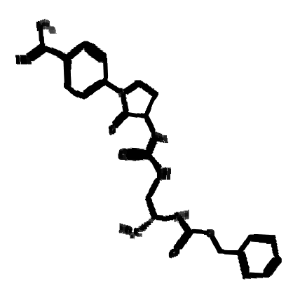 N=C(N)c1ccc(N2CCC(NC(=O)NC[C@H](NC(=O)OCc3ccccc3)C(=O)O)C2=O)cc1